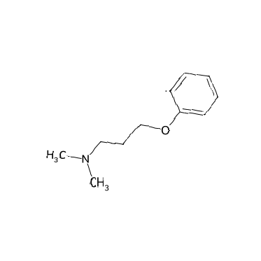 CN(C)CCCOc1[c]cccc1